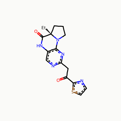 CC[C@@]12CCCN1c1nc(CC(=O)c3nccs3)ncc1NC2=O